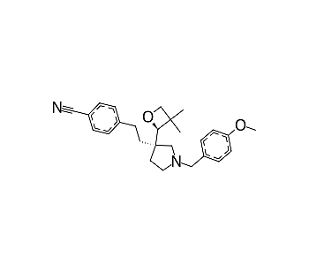 COc1ccc(CN2CC[C@@](CCc3ccc(C#N)cc3)([C@H]3OCC3(C)C)C2)cc1